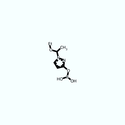 CCOC(C)n1ccc(OB(O)O)n1